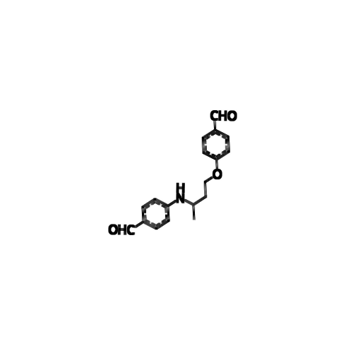 CC(CCOc1ccc(C=O)cc1)Nc1ccc(C=O)cc1